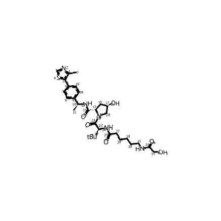 Cc1ncsc1-c1ccc([C@H](C)NC(=O)[C@@H]2C[C@@H](O)CN2C(=O)[C@@H](NC(=O)CCCCCNC(=O)CO)C(C)(C)C)cc1